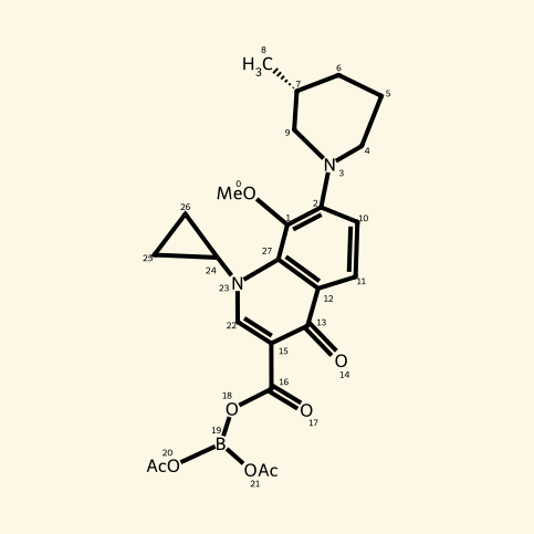 COc1c(N2CCC[C@@H](C)C2)ccc2c(=O)c(C(=O)OB(OC(C)=O)OC(C)=O)cn(C3CC3)c12